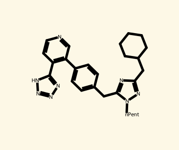 CCCCCn1nc(CC2CCCCC2)nc1Cc1ccc(-c2cnccc2-c2nnn[nH]2)cc1